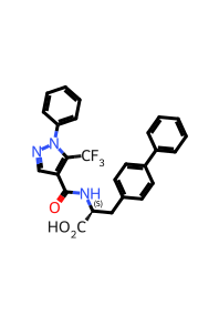 O=C(N[C@@H](Cc1ccc(-c2ccccc2)cc1)C(=O)O)c1cnn(-c2ccccc2)c1C(F)(F)F